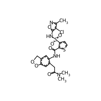 Cc1noc(NS(=O)(=O)c2ccsc2C(=O)Nc2cc3c(cc2CC(=O)N(C)C)OOC3)c1Cl